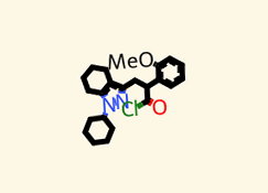 COc1ccccc1C(Cc1nn(C2CCCCC2)c2c1CCCC2)C(=O)Cl